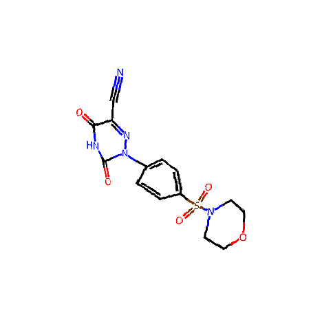 N#Cc1nn(-c2ccc(S(=O)(=O)N3CCOCC3)cc2)c(=O)[nH]c1=O